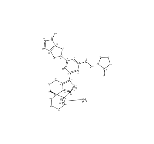 CN1CCC[C@H]1COc1cc(N2Cc3cnn(C)c3C2)nc(-c2onc3c2CCC[C@@]32CCCc3sc(N)c(C#N)c32)n1